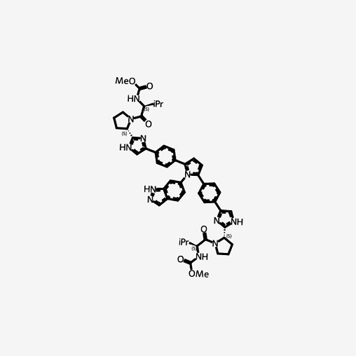 COC(=O)N[C@H](C(=O)N1CCC[C@H]1c1nc(-c2ccc(-c3ccc(-c4ccc(-c5c[nH]c([C@@H]6CCCN6C(=O)[C@@H](NC(=O)OC)C(C)C)n5)cc4)n3-c3ccc4cn[nH]c4c3)cc2)c[nH]1)C(C)C